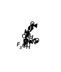 O=C(CN1CCOCC1)Nc1cc(C(=O)Nc2nnc(N3CCN(C(=O)C4CC4)CC3)s2)ccc1OC(F)(F)F